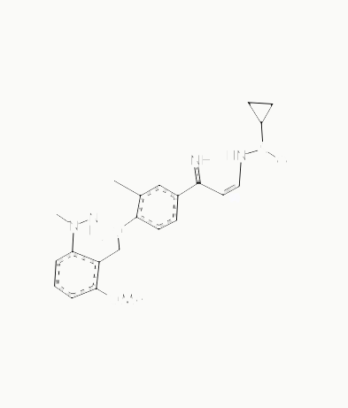 COc1cccc(N(C)N)c1COc1ccc(C(=N)/C=C\N[S+]([O-])C2CC2)cc1C